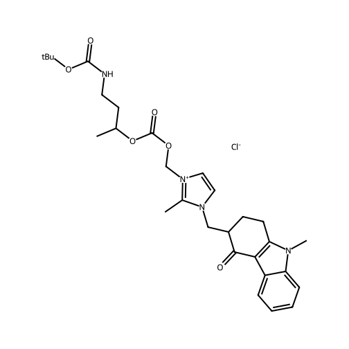 Cc1n(CC2CCc3c(c4ccccc4n3C)C2=O)cc[n+]1COC(=O)OC(C)CCNC(=O)OC(C)(C)C.[Cl-]